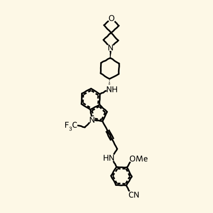 COc1cc(C#N)ccc1NCC#Cc1cc2c(N[C@H]3CC[C@H](N4CC5(COC5)C4)CC3)cccc2n1CC(F)(F)F